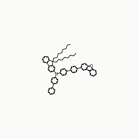 CCCCCCCCC1(CCCCCCCC)c2ccccc2-c2ccc(N(c3ccc(-c4ccccc4)cc3)c3ccc(-c4ccc(-c5ccc6oc7ccccc7c6c5)cc4)cc3)cc21